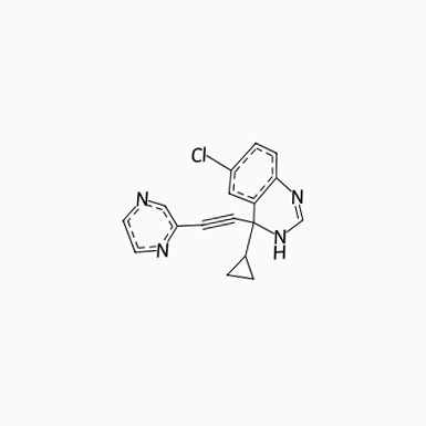 Clc1ccc2c(c1)C(C#Cc1cnccn1)(C1CC1)NC=N2